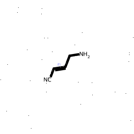 N#C/C=C/CN